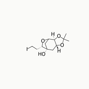 CC1(C)O[C@@H]2C3C[C@@](O)(C[C@H]2O1)[C@H](CCI)O3